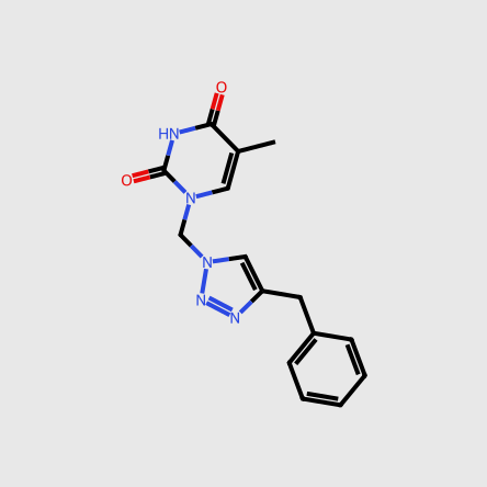 Cc1cn(Cn2cc(Cc3ccccc3)nn2)c(=O)[nH]c1=O